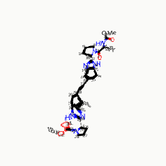 COC(=O)N[C@H](C(=O)N1CCC[C@H]1c1nc2cc(C#Cc3ccc4[nH]c([C@@H]5CCCN5C(=O)OC(C)(C)C)nc4c3)ccc2[nH]1)C(C)C